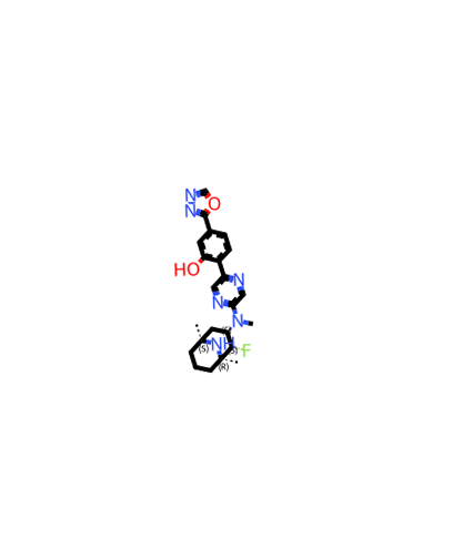 CN(c1cnc(-c2ccc(-c3nnco3)cc2O)cn1)[C@H]1C[C@]2(C)CCC[C@@](C)(N2)[C@H]1F